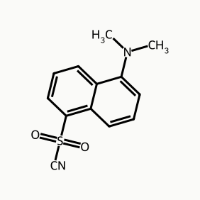 CN(C)c1cccc2c(S(=O)(=O)C#N)cccc12